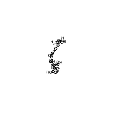 C#Cc1c(F)ccc2cc(O)cc(-c3ncc4c(N5CCC[C@@](C)(O)C5)nc(OC[C@@]56CCCN5[C@H](COC(=O)N5CCC7(CC5)CC(N5CCC(c8ccc9c(c8)n(C)c(=O)n9C8CCC(=O)NC8=O)CC5)C7)CC6)nc4c3F)c12